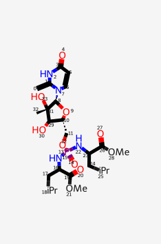 C=C1NC(=O)C=CN1[C@@H]1O[C@H](COP(=O)(NC(CC(C)C)C(=O)OC)NC(CC(C)C)C(=O)OC)C(O)[C@]1(C)O